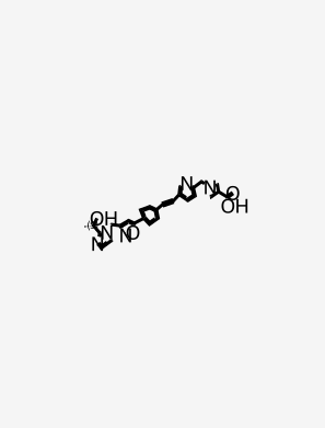 C[C@H](O)c1nccn1Cc1cc(-c2ccc(C#Cc3ccc(CN4CC(C(=O)O)C4)nc3)cc2)on1